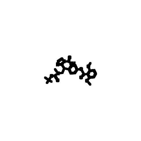 COc1cccc(OC)c1C(=O)Oc1ccc(C(CN(C)C(=O)OC(C)(C)C)c2nccn2C(=O)O)cc1